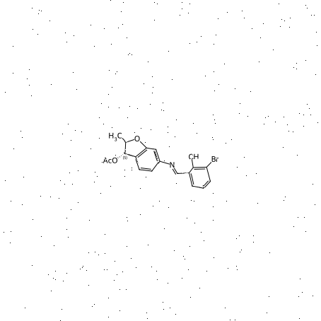 CC(=O)O[C@H]1c2ccc(N=Cc3cccc(Br)c3O)cc2OC1C